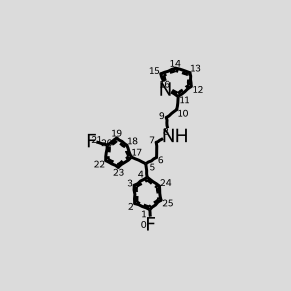 Fc1ccc(C(CCNCCc2ccccn2)c2ccc(F)cc2)cc1